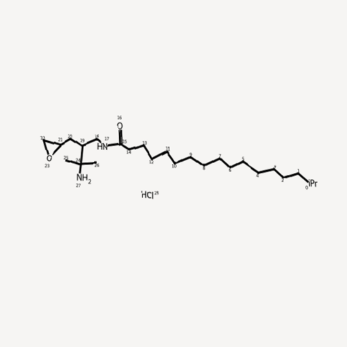 CC(C)CCCCCCCCCCCCCCC(=O)NCC(CC1CO1)C(C)(C)N.Cl